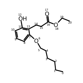 CCCCCCOc1cccc(O)c1CCC(=O)OCC